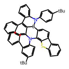 CC(C)(C)c1ccc(N2B3c4ccc5c(sc6ccccc65)c4N(c4ccc(C(C)(C)C)cc4-c4ccccc4)c4cc5ccccc5c(c43)-c3ccccc32)cc1